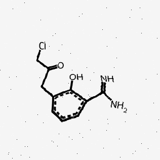 N=C(N)c1cccc(CC(=O)CCl)c1O